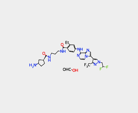 CCc1cc(Nc2nccn3c(-c4cn(CC(F)F)nc4C(F)(F)F)cnc23)ccc1C(=O)NCCCNC(=O)[C@H]1CC[C@@H](N)C1.O=CO